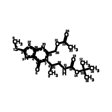 CSc1nc2c(=O)n([C@H](C)CNC(=O)OC(C)(C)C)c(COC(C)=O)nc2s1